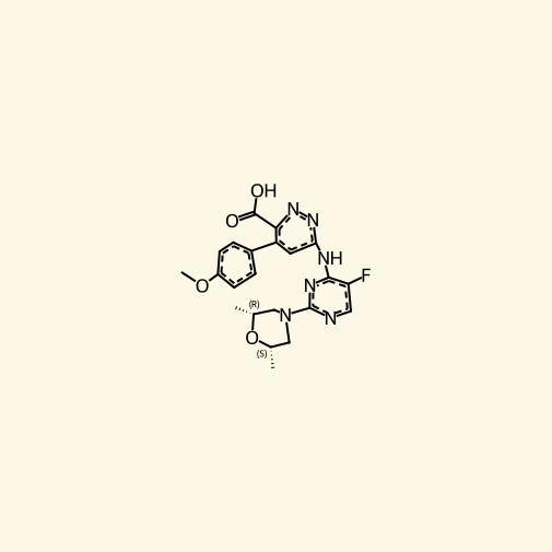 COc1ccc(-c2cc(Nc3nc(N4C[C@@H](C)O[C@@H](C)C4)ncc3F)nnc2C(=O)O)cc1